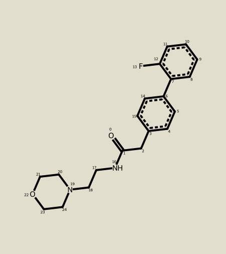 O=C(Cc1ccc(-c2ccccc2F)cc1)NCCN1CCOCC1